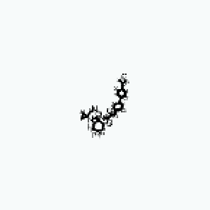 N#CC1(NC(=O)C2(NC(=O)c3cc4ccc(-c5ccc(C6COC6)cc5)cc4o3)CCC(F)(F)CC2)CC1